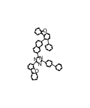 c1ccc(-c2ccc(-c3nc(-c4ccc5ccc(-c6c(-c7ccccc7)ccc7oc8ccccc8c67)cc5c4)nc(-c4cccc5c4oc4ccccc45)n3)cc2)cc1